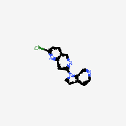 Clc1ccc2cnc(-n3ccc4ccncc43)cc2n1